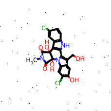 CN1C(=O)[C@@]2(O)n3c(c(CO)c4cc(O)c(Cl)cc43)-c3[nH]c4ccc(Cl)cc4c3[C@@]2(O)C1=O